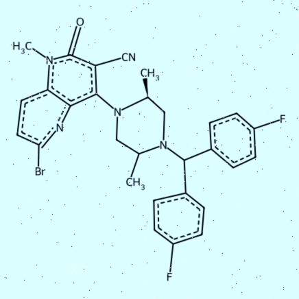 CC1CN(c2c(C#N)c(=O)n(C)c3ccc(Br)nc23)[C@@H](C)CN1C(c1ccc(F)cc1)c1ccc(F)cc1